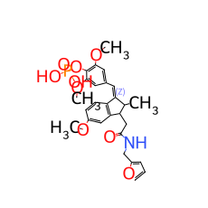 COc1ccc2c(c1)C(CC(=O)NCc1ccco1)C(C)/C2=C/c1cc(OC)c(OP(=O)(O)O)c(OC)c1